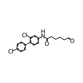 O=CCCCCC(=O)Nc1ccc(-c2ccc(Cl)cc2)c(Cl)c1